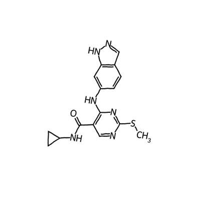 CSc1ncc(C(=O)NC2CC2)c(Nc2ccc3cn[nH]c3c2)n1